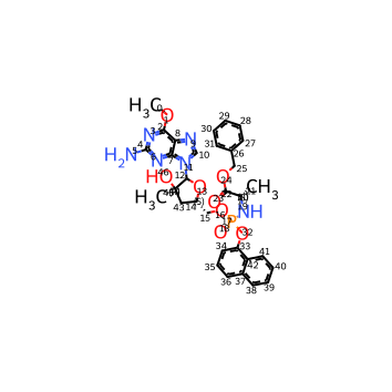 COc1nc(N)nc2c1ncn2C1O[C@H](COP(=O)(N[C@@H](C)C(=O)OCc2ccccc2)Oc2cccc3ccccc23)C[C@@]1(C)O